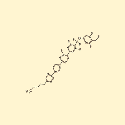 CCCCCc1cnc(-c2ccc(-c3ccc(-c4cc(F)c(C(F)(F)Oc5cc(F)c(CF)c(F)c5)c(F)c4)c(F)c3)cc2)nc1